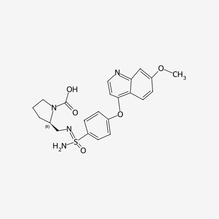 COc1ccc2c(Oc3ccc(S(N)(=O)=NC[C@H]4CCCN4C(=O)O)cc3)ccnc2c1